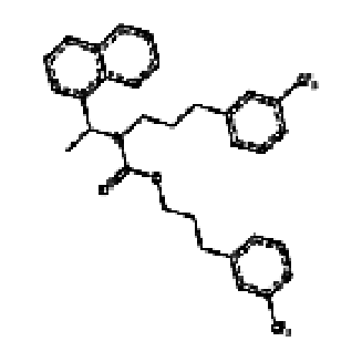 CC(c1cccc2ccccc12)N(CCCc1cccc(C(F)(F)F)c1)C(=O)OCCCc1cccc(C(F)(F)F)c1